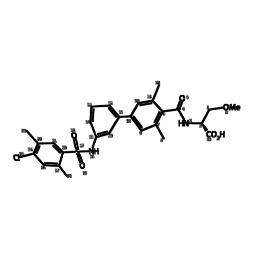 COC[C@H](NC(=O)c1c(C)cc(-c2cccc(NS(=O)(=O)c3cc(C)c(Cl)cc3C)c2)cc1C)C(=O)O